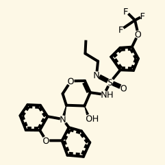 CCCN=S(=O)(NC1=COC[C@H](N2c3ccccc3Oc3ccccc32)[C@@H]1O)c1ccc(OC(F)(F)F)cc1